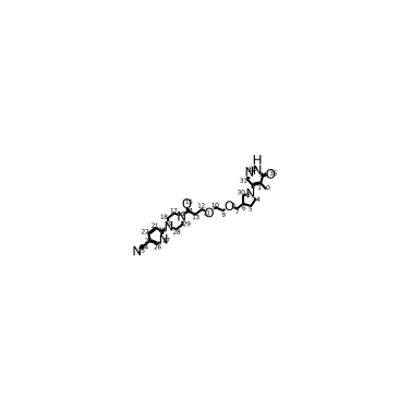 Cc1c(N2CCC(COCCOCCC(=O)N3CCN(c4ccc(C#N)cn4)CC3)C2)cn[nH]c1=O